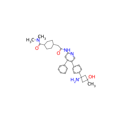 CN(C)C(=O)C1CCC(CC(=O)Nc2cc(-c3ccccc3)c(-c3ccc(C4(N)CC(C)(O)C4)cc3)cn2)CC1